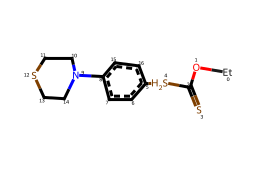 CCOC(=S)[SH2]c1ccc(N2CCSCC2)cc1